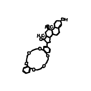 C[C@]12CCC(O)C=C1CCC1C2C(=O)C[C@]2(C)C(=O)C(c3ccc4c(c3)OCCOCCOc3ccccc3OCCOCCO4)CC12